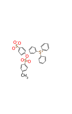 Cc1ccc(S(=O)(=O)Oc2ccc(S(=O)(=O)[O-])cc2)cc1.c1ccc([S+](c2ccccc2)c2ccccc2)cc1